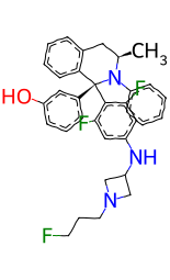 C[C@@H]1Cc2ccccc2[C@@](c2cccc(O)c2)(c2c(F)cc(NC3CN(CCCF)C3)cc2F)N1c1ccccc1